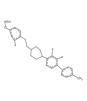 CCCCCCCCOc1ccc(CCC2CCC(c3ccc(-c4ccc(C)cc4)c(F)c3F)CC2)c(F)c1